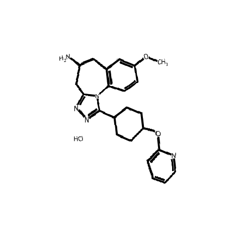 COc1ccc2c(c1)CC(N)Cc1nnc(C3CCC(Oc4ccccn4)CC3)n1-2.Cl